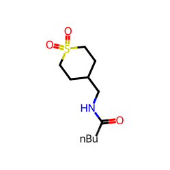 CCCCC(=O)NCC1CCS(=O)(=O)CC1